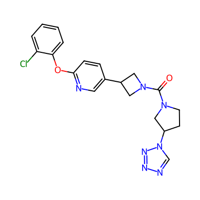 O=C(N1CC(c2ccc(Oc3ccccc3Cl)nc2)C1)N1CCC(n2cnnn2)C1